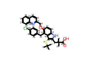 CC(C)(C)Sc1c(CC(C)(C)C(=O)O)[nH]c2ccc(OCc3ccc4ccccc4n3)c(Cc3ccc(Cl)cc3)c12